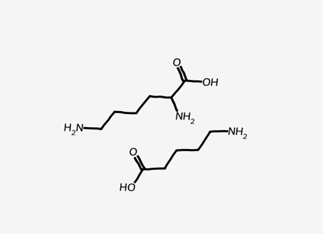 NCCCCC(=O)O.NCCCCC(N)C(=O)O